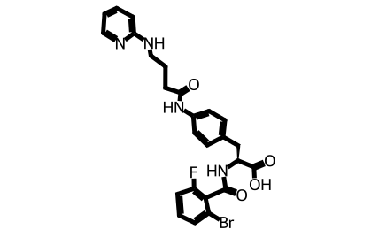 O=C(CCCNc1ccccn1)Nc1ccc(C[C@H](NC(=O)c2c(F)cccc2Br)C(=O)O)cc1